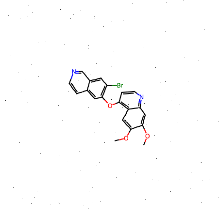 COc1cc2nccc(Oc3cc4ccncc4cc3Br)c2cc1OC